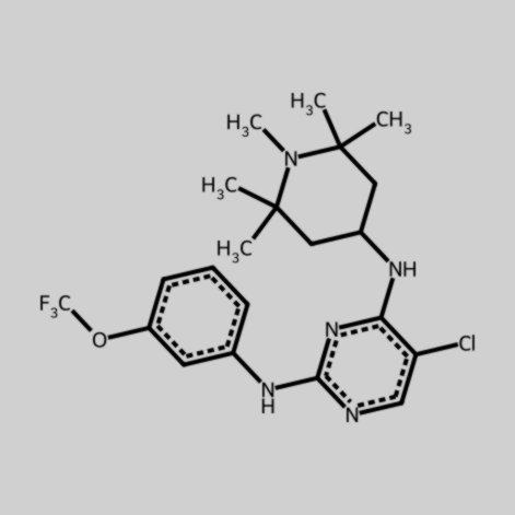 CN1C(C)(C)CC(Nc2nc(Nc3cccc(OC(F)(F)F)c3)ncc2Cl)CC1(C)C